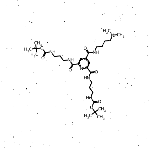 CN(C)CCCCNC(=O)c1cc(C(=O)NCCCNC(=O)OC(C)(C)C)nc(C(=O)NCCCNC(=O)OC(C)(C)C)c1